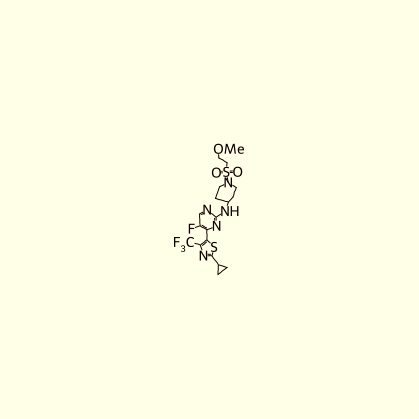 COCCS(=O)(=O)N1CCC(Nc2ncc(F)c(-c3sc(C4CC4)nc3C(F)(F)F)n2)CC1